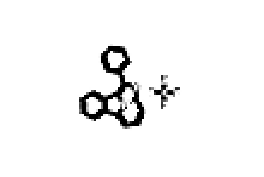 F[B-](F)(F)F.c1ccc(-c2oc3cccc4[n+]3c2-c2ccccc2-4)cc1